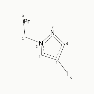 CC(C)Cn1[c]c(I)cn1